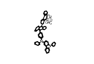 CC1(C)c2ccccc2-c2ccc(-c3c4ccccc4c(-c4ccc(N(c5ccccc5)c5ccc6c(c5)c5ccccc5n6-c5ccccc5)cc4)c4ccccc34)cc21